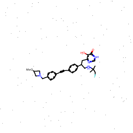 COC1CN(Cc2ccc(C#Cc3ccc(C(CNC(C)(C)CF)Cc4nc[nH]c(=O)c4O)cc3)cc2)C1